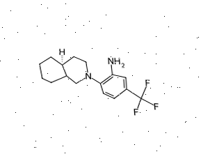 Nc1cc(C(F)(F)F)ccc1N1CC[C@@H]2CCCCC2C1